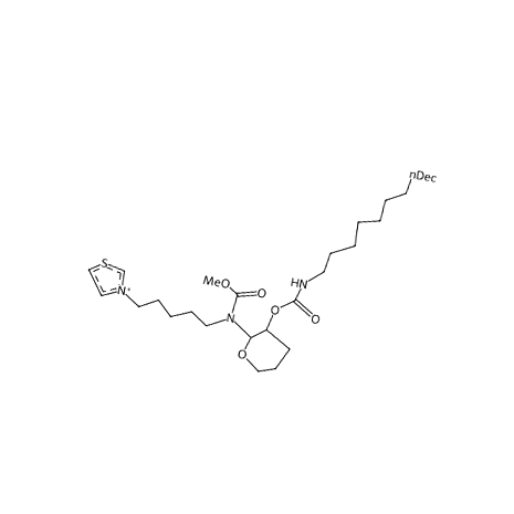 CCCCCCCCCCCCCCCCCNC(=O)OC1CCCOC1N(CCCCC[n+]1ccsc1)C(=O)OC